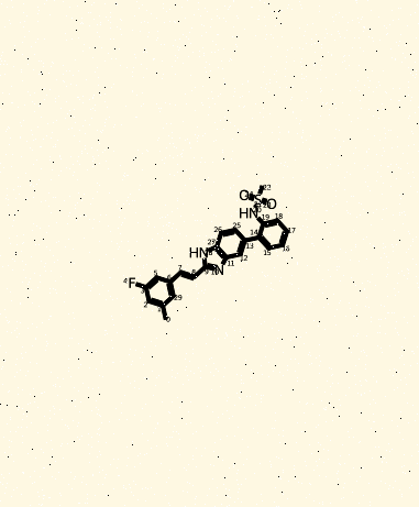 Cc1cc(F)cc(/C=C/c2nc3cc(-c4ccccc4NS(C)(=O)=O)ccc3[nH]2)c1